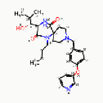 CCCCN1C(=O)[C@@H]([C@H](O)C(C)C)NC(=O)C12CCN(Cc1ccc(Oc3cccnc3)cc1)CC2